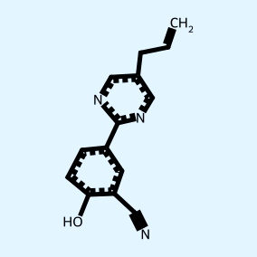 C=CCc1cnc(-c2ccc(O)c(C#N)c2)nc1